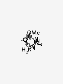 COc1cc2n(n1)-c1ccc(C)cc1[C@@H](C)Oc1cc(cnc1N)-c1c(nnn1CC1CC1)C2